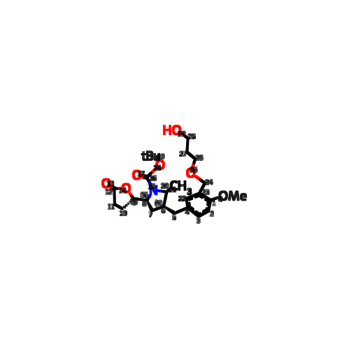 COc1ccc(C[C@H]2C[C@@H]([C@@H]3CCC(=O)O3)N(C(=O)OC(C)(C)C)C2C)cc1COCCCO